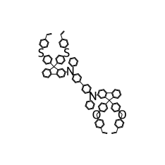 C=Cc1ccc(Oc2ccc(C3(c4ccc(Oc5ccc(C=C)cc5)cc4)c4ccccc4-c4ccc(N(c5ccccc5)c5ccc(-c6ccc(N(c7ccccc7)c7ccc8c(c7)C(c7ccc(Sc9ccc(C=C)cc9)cc7)(c7ccc(Sc9ccc(C=C)cc9)cc7)c7ccccc7-8)cc6)cc5)cc43)cc2)cc1